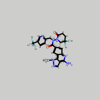 Cn1ncc2c(N)nc3ccc(C(=O)N(Cc4ccc(C(F)(F)F)cn4)N4CC(F)(F)CCC4=O)cc3c21